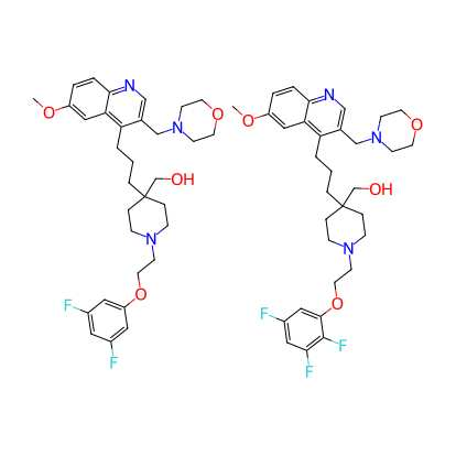 COc1ccc2ncc(CN3CCOCC3)c(CCCC3(CO)CCN(CCOc4cc(F)cc(F)c4)CC3)c2c1.COc1ccc2ncc(CN3CCOCC3)c(CCCC3(CO)CCN(CCOc4cc(F)cc(F)c4F)CC3)c2c1